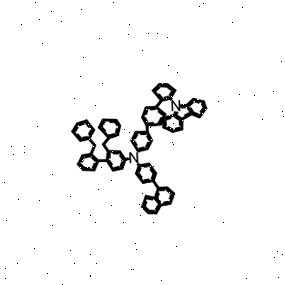 c1ccc(Cc2ccccc2-c2ccc(N(c3ccc(-c4ccc(-c5ccccc5-n5c6ccccc6c6ccccc65)cc4)cc3)c3ccc(-c4cccc5ccccc45)cc3)cc2Cc2ccccc2)cc1